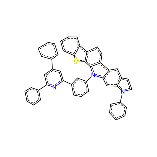 c1ccc(-c2cc(-c3ccccc3)nc(-c3cccc(-n4c5cc6c(ccn6-c6ccccc6)cc5c5ccc6c7ccccc7sc6c54)c3)c2)cc1